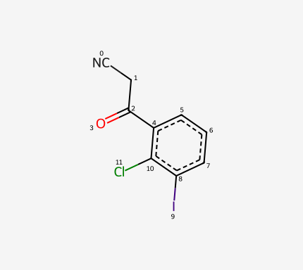 N#CCC(=O)c1cccc(I)c1Cl